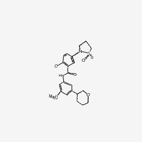 COc1cc(NC(=O)c2cc(N3CCCS3(=O)=O)ccc2Cl)cc(C2CCCOC2)c1